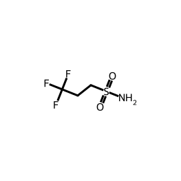 NS(=O)(=O)CCC(F)(F)F